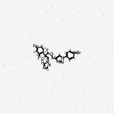 C[C@@H](OCc1cn(-c2ccc(Br)cc2)nn1)[C@](O)(Cn1cncn1)c1ccc(F)cc1F